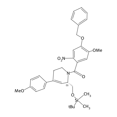 COc1ccc(C2=C[C@@H](CO[Si](C)(C)C(C)(C)C)N(C(=O)c3cc(OC)c(OCc4ccccc4)cc3[N+](=O)[O-])CC2)cc1